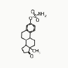 CC12CCC3c4ccc(OS(N)(=O)=O)cc4CCC3C1CCC2=O